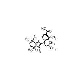 Cc1cc(N(CC(C)C)c2nc3c(s2)C(C)(C)CCC3(C)C)ccc1C(=O)O